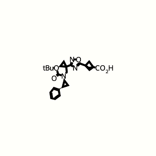 CC(C)(C)OC(=O)N(CC1(c2noc(C34CC(C(=O)O)(C3)C4)n2)CC1)[C@H]1C[C@@H]1c1ccccc1